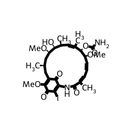 COC1=C2C[C@@H](C)C[C@H](OC)[C@H](O)[C@@H](C)C=C(C)[C@H](OC(N)=O)[C@@H](OC)C=CC=C(C)C(=O)NC(=C(I)C1=O)C2=O